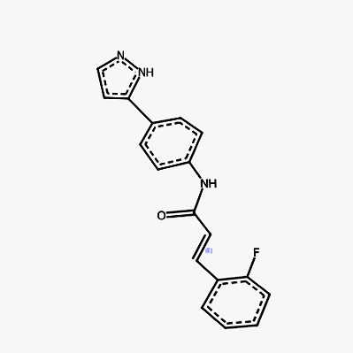 O=C(/C=C/c1ccccc1F)Nc1ccc(-c2ccn[nH]2)cc1